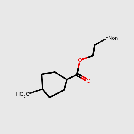 CCCCCCCCCCCOC(=O)C1CCC(C(=O)O)CC1